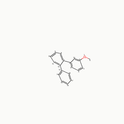 COc1cccc(-c2ccccc2-c2ccccc2)c1